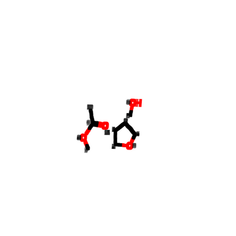 C1CCOC1.CO.COC(C)=O